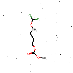 CC(C)(C)OC(=O)OCCC[SiH2]OC(Cl)Cl